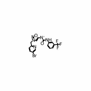 O=C([N-]c1c[n+](Cc2ccc(Br)cn2)no1)Nc1cccc(C(F)(F)F)c1